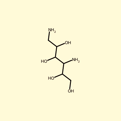 NCC(O)C(O)C(N)C(O)CO